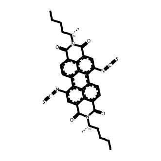 CCCC[C@H](C)N1C(=O)c2ccc3c4c(N=C=S)cc5c6c(ccc(c7c(N=C=S)cc(c2c37)C1=O)c64)C(=O)N([C@@H](C)CCCC)C5=O